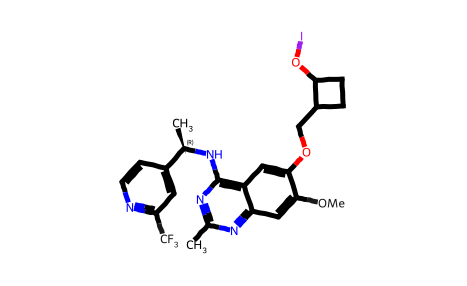 COc1cc2nc(C)nc(N[C@H](C)c3ccnc(C(F)(F)F)c3)c2cc1OCC1CCC1OI